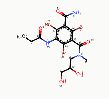 CC(=O)OCC(=O)Nc1c(Br)c(C(N)=O)c(Br)c(C(=O)N(C)CC(O)CO)c1Br